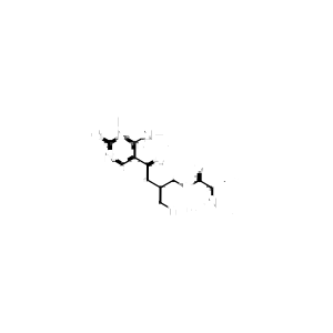 CCCCCCCCCCCC(COC(=O)[C@@H](N)C(C)C)CC(=O)c1cnc(=O)[nH]c1N